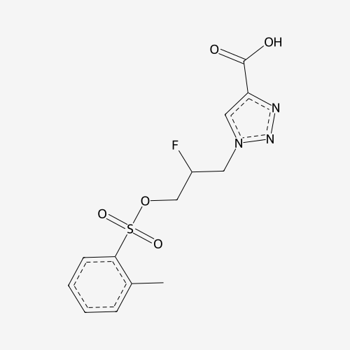 Cc1ccccc1S(=O)(=O)OCC(F)Cn1cc(C(=O)O)nn1